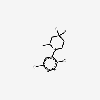 CC1CC(F)(F)CCN1c1cc(Cl)nnc1Cl